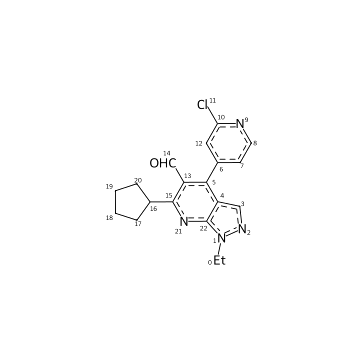 CCn1ncc2c(-c3ccnc(Cl)c3)c(C=O)c(C3CCCC3)nc21